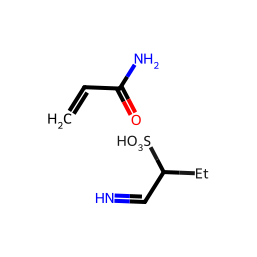 C=CC(N)=O.CCC(C=N)S(=O)(=O)O